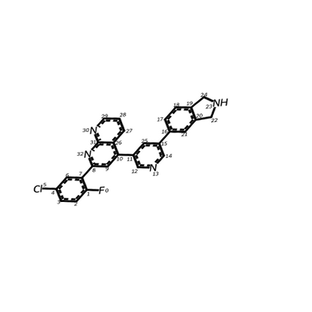 Fc1ccc(Cl)cc1-c1cc(-c2cncc(-c3ccc4c(c3)CNC4)c2)c2cccnc2n1